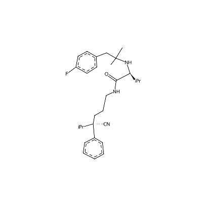 CC(C)[C@H](NC(C)(C)Cc1ccc(F)cc1)C(=O)NCCC[C@@](C#N)(c1ccccc1)C(C)C